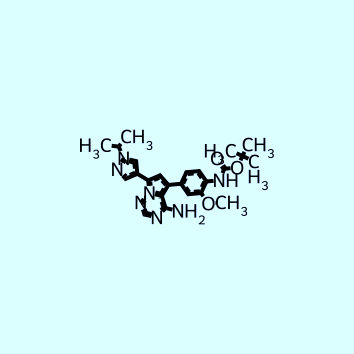 COc1cc(-c2cc(-c3cnn(C(C)C)c3)n3ncnc(N)c23)ccc1NC(=O)OC(C)(C)C